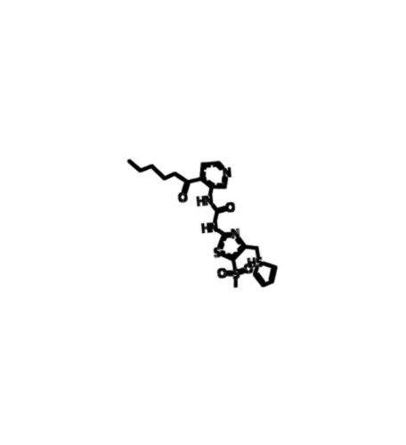 CCCCCC(=O)c1ccncc1NC(=O)Nc1nc(C[SH]2C=CC=C2)c(S(C)(=O)=O)s1